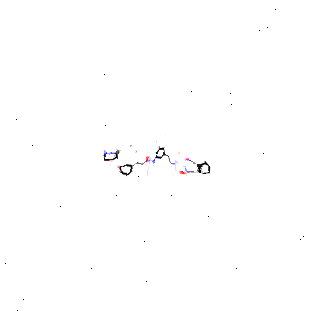 N#Cc1cc(Oc2cccc(CCC(=O)Nc3cc(CCN4C(=O)c5ccccc5C4=O)cc(C(F)(F)F)c3)c2)ccn1